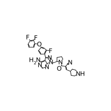 N#CC(=CC1CCNCC1)C(=O)N1CCCC1Cn1nc(-c2ccc(Oc3cccc(F)c3F)cc2F)c2c(N)ncnc21